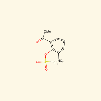 COC(=O)c1cccc([N+](=O)[O-])c1OS(=O)(=O)C(F)(F)F